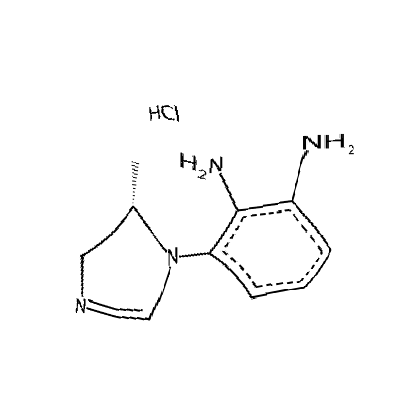 C[C@H]1CN=CN1c1cccc(N)c1N.Cl